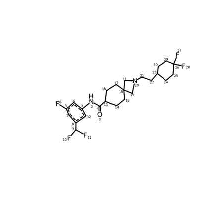 O=C(Nc1cc(F)cc(C(F)F)c1)C1CCC2(CC1)CN(CCC1CCC(F)(F)CC1)C2